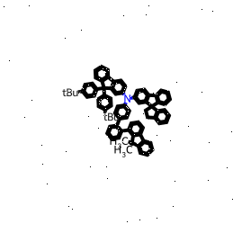 CC(C)(C)c1ccc(C2(c3ccc(C(C)(C)C)cc3)c3ccccc3-c3ccc(N(c4ccc(-c5ccccc5-c5cccc6c5C(C)(C)c5ccccc5-6)cc4)c4ccc5c(c4)C4(CCc6ccccc64)c4ccccc4-5)cc32)cc1